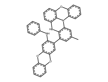 Cc1cc(-c2cc3c(cc2Nc2ccccc2)Oc2ccccc2O3)c2c(c1)N1c3ccccc3Oc3cccc(c31)B2